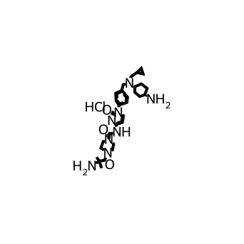 CC(C)(N)C(=O)N1CCN(C(=O)Nc2ccn(-c3ccc(CN(CC4CC4)[C@H]4CC[C@H](N)CC4)cc3)c(=O)n2)CC1.Cl